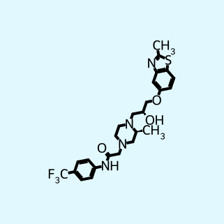 Cc1nc2cc(OC[C@@H](O)CN3CCN(CC(=O)Nc4ccc(C(F)(F)F)cc4)C[C@@H]3C)ccc2s1